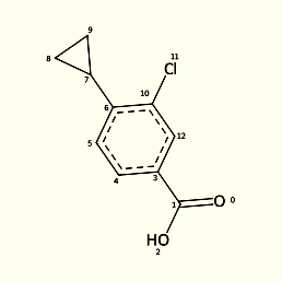 O=C(O)c1ccc(C2CC2)c(Cl)c1